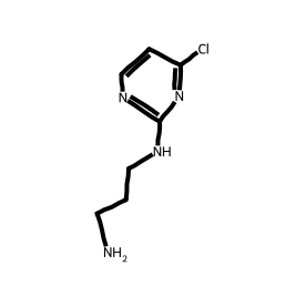 NCCCNc1nccc(Cl)n1